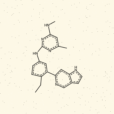 CCc1ccc(Nc2nc(C)cc(NC)n2)cc1-c1cc2[nH]ccc2cn1